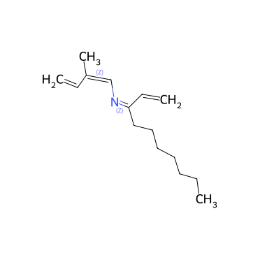 C=C/C(C)=C\N=C(/C=C)CCCCCCC